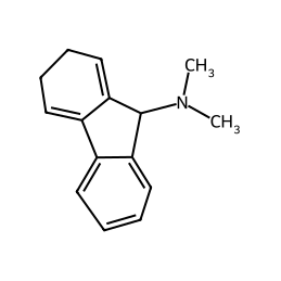 CN(C)C1C2=CCCC=C2c2ccccc21